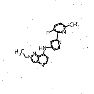 CCn1cc2nccc(Nc3ccnc(-c4nc(C)ccc4F)c3)c2n1